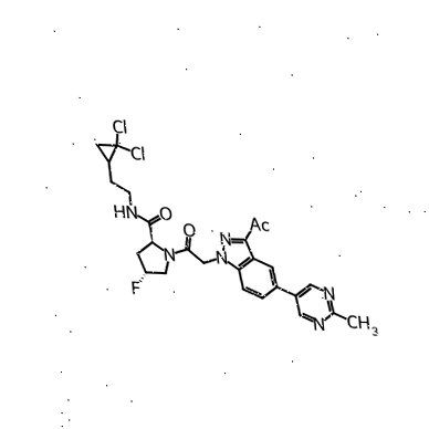 CC(=O)c1nn(CC(=O)N2C[C@H](F)C[C@H]2C(=O)NCCC2CC2(Cl)Cl)c2ccc(-c3cnc(C)nc3)cc12